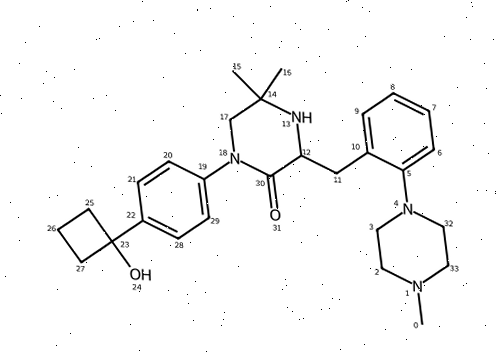 CN1CCN(c2ccccc2CC2NC(C)(C)CN(c3ccc(C4(O)CCC4)cc3)C2=O)CC1